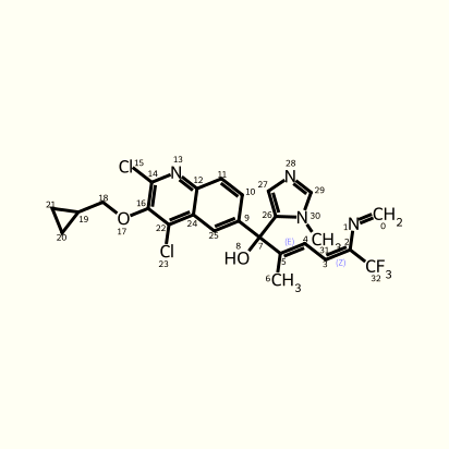 C=N/C(=C\C=C(/C)C(O)(c1ccc2nc(Cl)c(OCC3CC3)c(Cl)c2c1)c1cncn1C)C(F)(F)F